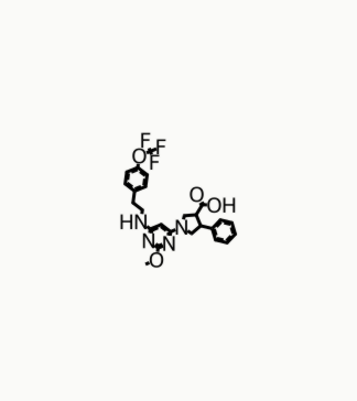 COc1nc(NCCc2ccc(OC(F)(F)F)cc2)cc(N2CC(C(=O)O)C(c3ccccc3)C2)n1